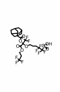 O=C(OC(OCCCC(F)(F)C(F)(F)S(=O)(=O)O)(C(=O)OCCC(F)(F)F)C(F)(F)F)C12CC3CC(CC(C3)C1)C2